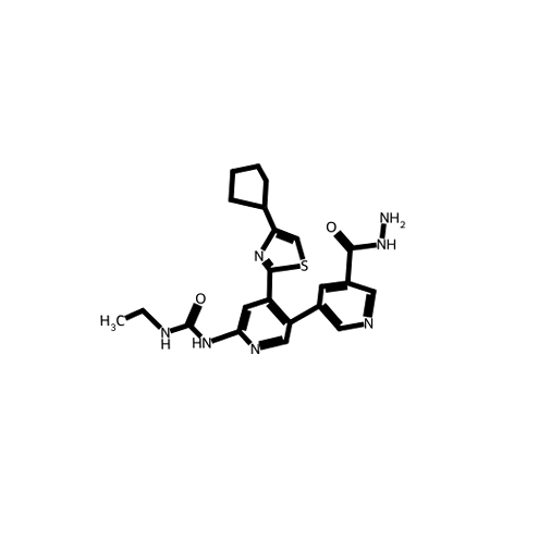 CCNC(=O)Nc1cc(-c2nc(C3CCCC3)cs2)c(-c2cncc(C(=O)NN)c2)cn1